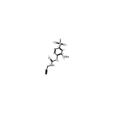 C#CCNC(=O)Oc1ccc(S(C)(=O)=O)cc1OC